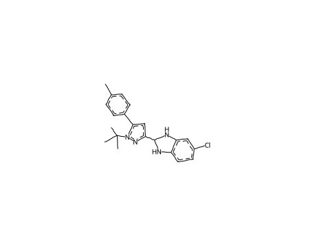 Cc1ccc(-c2cc(C3Nc4ccc(Cl)cc4N3)nn2C(C)(C)C)cc1